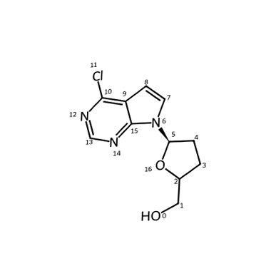 OCC1CC[C@H](n2ccc3c(Cl)ncnc32)O1